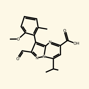 COc1cccc(C)c1-c1c(C=O)nn2c(C(C)C)cc(C(=O)O)nc12